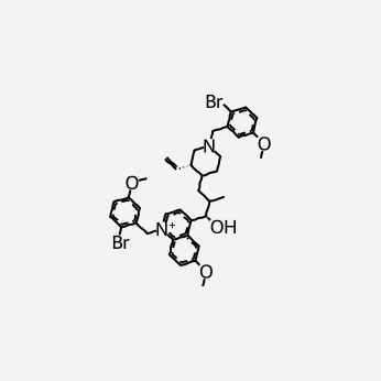 C=C[C@@H]1CN(Cc2cc(OC)ccc2Br)CCC1CC(C)[C@@H](O)c1cc[n+](Cc2cc(OC)ccc2Br)c2ccc(OC)cc12